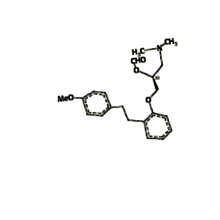 COc1ccc(CCc2ccccc2OC[C@H](CN(C)C)OC=O)cc1